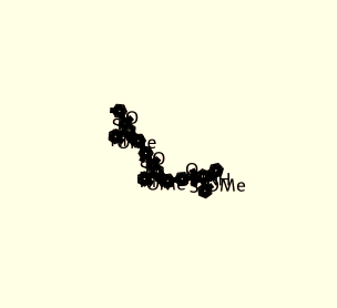 COc1ccccc1C1c2[nH]c3ccccc3c2CC2C(=O)N(c3ccc(-c4ccc5[nH]c6c(c5c4)CC4C(=O)N(c5ccc(-c7ccc8c9c([nH]c8c7)C(c7ccccc7OC)N7C(=S)N(c8cccc(C)c8)C(=O)C7C9)cc5C)C(=S)N4C6c4ccccc4OC)cc3)C(=S)N21